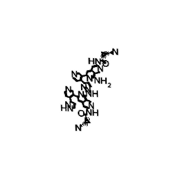 N#C[C@@H]1C[C@H]1C(=O)Nc1cc2cc(-c3cnccc3-c3ccn(Nc4nc(-c5cnccc5-c5cc[nH]n5)cc5cc(NC(=O)[C@H]6C[C@@H]6C#N)ncc45)n3)nc(N)c2cn1